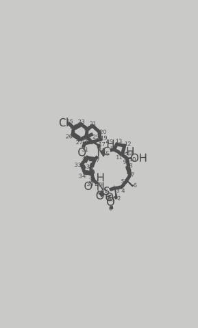 COC[C@@H]1C[C@H](C)/C=C/[C@H](O)[C@@H]2CC[C@H]2CN2C[C@@]3(CCCC4C=C(Cl)C=CC43C)COc3ccc(cc32)C(=O)NS1(=O)=O